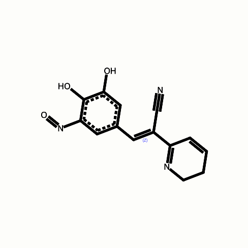 N#C/C(=C\c1cc(O)c(O)c(N=O)c1)C1=NCCC=C1